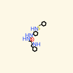 C1=C(c2cc3ccccc3[nH]2)OC(Nc2cccc(NSCc3ccccc3)c2)N1